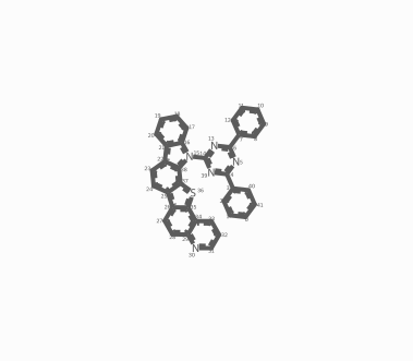 c1ccc(-c2nc(-c3ccccc3)nc(-n3c4ccccc4c4ccc5c6ccc7ncccc7c6sc5c43)n2)cc1